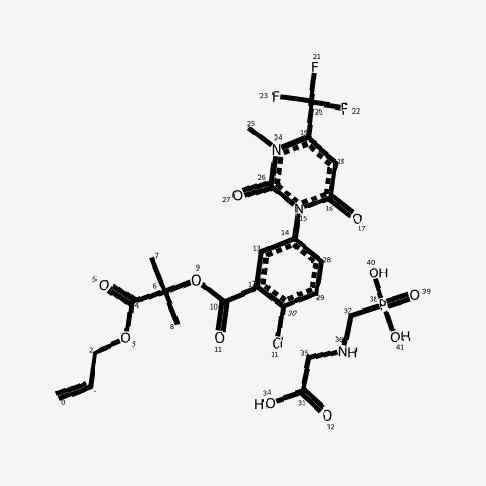 C=CCOC(=O)C(C)(C)OC(=O)c1cc(-n2c(=O)cc(C(F)(F)F)n(C)c2=O)ccc1Cl.O=C(O)CNCP(=O)(O)O